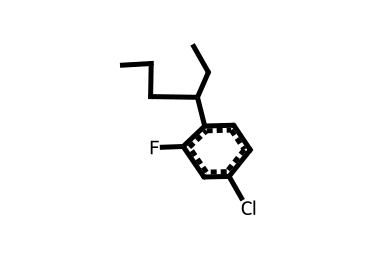 CCCC(CC)c1ccc(Cl)cc1F